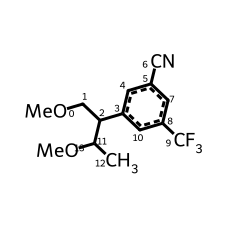 COCC(c1cc(C#N)cc(C(F)(F)F)c1)C(C)OC